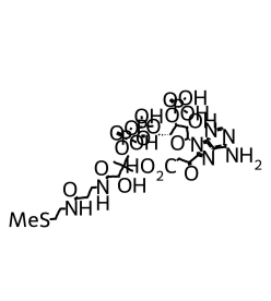 CSCCNC(=O)CCNC(=O)C(O)C(C)(C)COP(=O)(O)OP(=O)(O)OC[C@H]1O[C@@H](n2c(C(=O)CC(=O)O)nc3c(N)ncnc32)[C@H](O)[C@@H]1OP(=O)(O)O